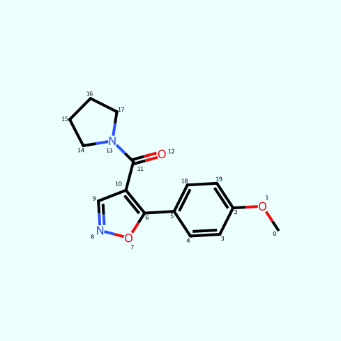 COc1ccc(-c2oncc2C(=O)N2CCCC2)cc1